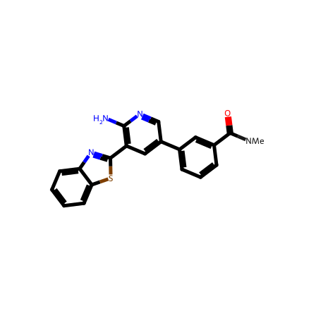 CNC(=O)c1cccc(-c2cnc(N)c(-c3nc4ccccc4s3)c2)c1